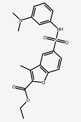 CCOC(=O)c1oc2ccc(S(=O)(=O)Nc3cccc(N(C)C)c3)cc2c1C